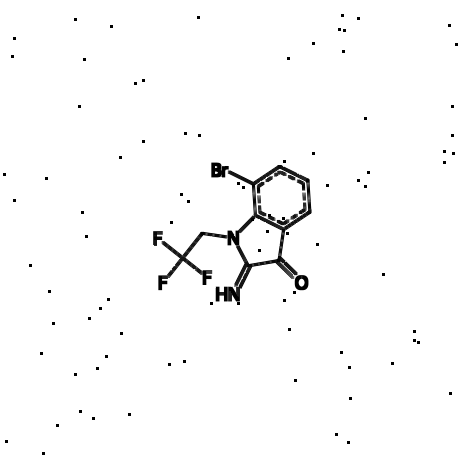 N=C1C(=O)c2cccc(Br)c2N1CC(F)(F)F